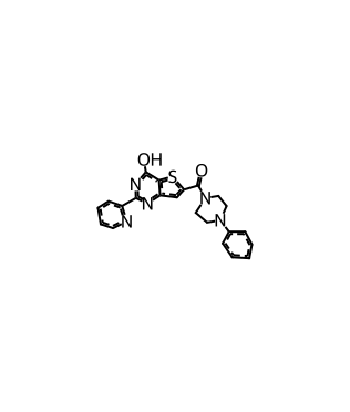 O=C(c1cc2nc(-c3ccccn3)nc(O)c2s1)N1CCN(c2ccccc2)CC1